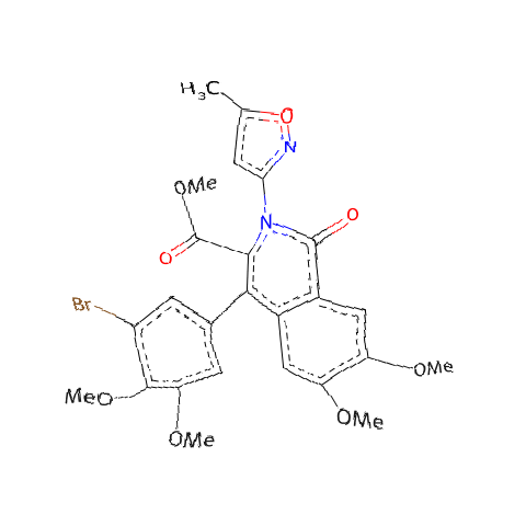 COC(=O)c1c(-c2cc(Br)c(OC)c(OC)c2)c2cc(OC)c(OC)cc2c(=O)n1-c1cc(C)on1